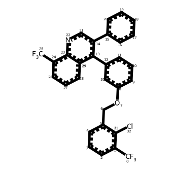 FC(F)(F)c1cccc(COc2cccc(-c3c(-c4ccccc4)cnc4c(C(F)(F)F)cccc34)c2)c1Cl